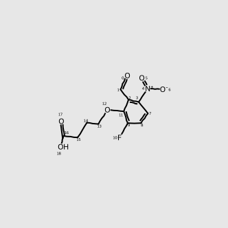 O=Cc1c([N+](=O)[O-])ccc(F)c1OCCCC(=O)O